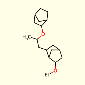 CCOC1CC2CC(CC(C)OC3CC4CCC3C4)C1C2